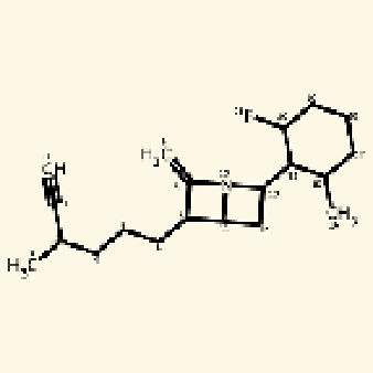 C#CC(C)CCCC1C(=C)N2C1CC2C1C(C)CCCC1F